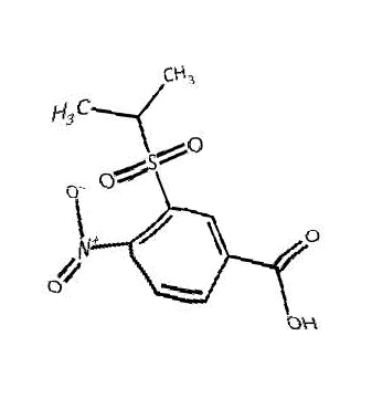 CC(C)S(=O)(=O)c1cc(C(=O)O)ccc1[N+](=O)[O-]